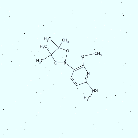 CNc1ccc(B2OC(C)(C)C(C)(C)O2)c(OC)n1